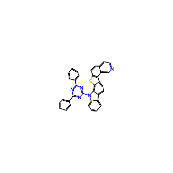 c1ccc(-c2nc(-c3ccccc3)nc(-n3c4ccccc4c4ccc5c(sc6ccc7ccncc7c65)c43)n2)cc1